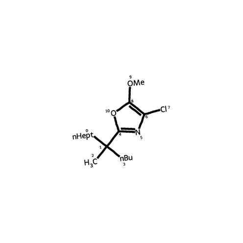 CCCCCCCC(C)(CCCC)c1nc(Cl)c(OC)o1